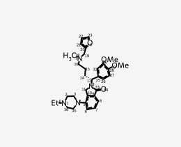 CCN1CCN(c2cccc3c2CN([C@H](CCCN(C)Cc2ccco2)c2ccc(OC)c(OC)c2)C3=O)CC1